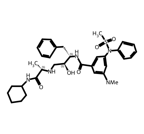 CNc1cc(C(=O)N[C@@H](Cc2ccccc2)[C@@H](O)CN[C@@H](C)C(=O)NC2CCCCC2)cc(N(c2ccccc2)S(C)(=O)=O)c1